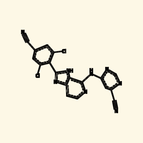 N#Cc1cc(Cl)c(-c2nc3ccnc(Nc4cc(C#N)ncn4)c3[nH]2)c(Cl)c1